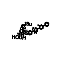 Cc1cc(-c2ccccc2)ccc1-c1cnc(-c2ccc(C[C@H](NC(=O)c3ccc(C(C)(C)C)s3)C(=O)N[C@H](C)C(O)O)cc2)nc1